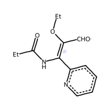 CCO/C([C]=O)=C(\NC(=O)CC)c1ccccn1